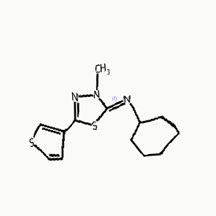 Cn1nc(-c2ccsc2)s/c1=N\C1CCCCC1